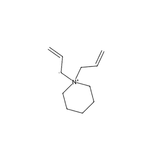 C=C[CH][N+]1(CC=C)CCCCC1